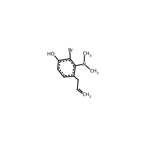 C=CCc1ccc(O)c(Br)c1N(C)C